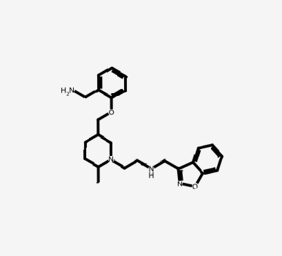 CC1CCC(COc2ccccc2CN)CN1CCNCc1noc2ccccc12